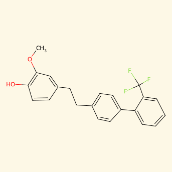 COc1cc(CCc2ccc(-c3ccccc3C(F)(F)F)cc2)ccc1O